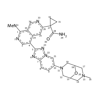 CNc1ncc(-c2nc3ccc(N4CC5CN(C)CC(C4)O5)cn3n2)c2cc(C3(C(N)=O)CC3)ncc12